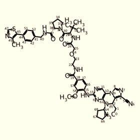 CC[C@@H]1c2c(C#N)ncn2-c2cnc(Nc3ccc(C(=O)NCCOCC(=O)N[C@H](C(=O)N4CCC[C@H]4C(=O)NCc4ccc(-c5scnc5C)cc4)C(C)(C)C)cc3OC)nc2N1C1CCCC1